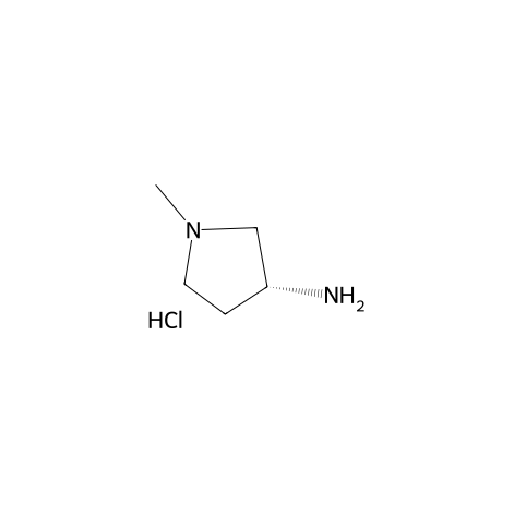 CN1CC[C@@H](N)C1.Cl